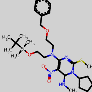 CNC1C([N+](=O)[O-])=C(N(CCOCc2ccccc2)CCO[Si](C)(C)C(C)(C)C)N=C(SC)N1C1CCCC1